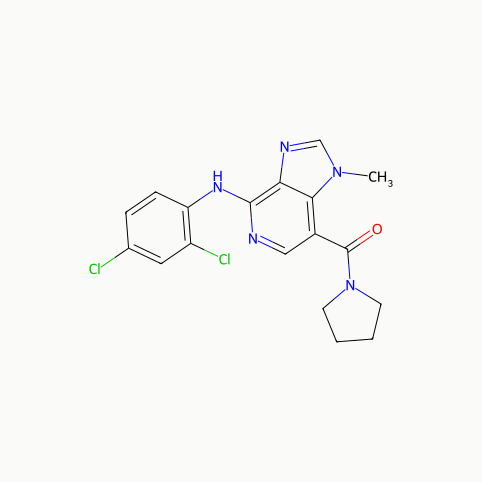 Cn1cnc2c(Nc3ccc(Cl)cc3Cl)ncc(C(=O)N3CCCC3)c21